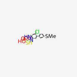 CSc1ccc(-c2cc3nc(C(S)P(=O)(O)O)[nH]c3cc2Cl)cc1